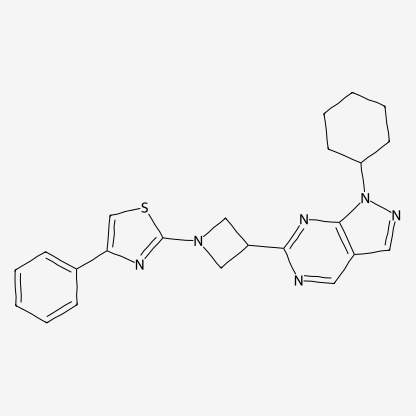 c1ccc(-c2csc(N3CC(c4ncc5cnn(C6CCCCC6)c5n4)C3)n2)cc1